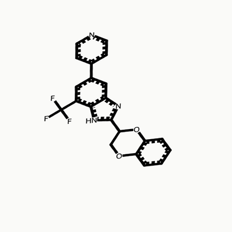 FC(F)(F)c1cc(-c2ccncc2)cc2nc(C3COc4ccccc4O3)[nH]c12